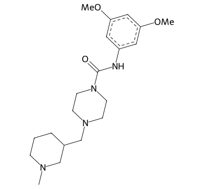 COc1cc(NC(=O)N2CCN(CC3CCCN(C)C3)CC2)cc(OC)c1